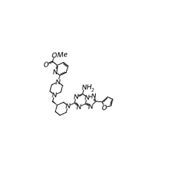 COC(=O)c1cccc(N2CCN(C[C@@H]3CCCN(c4nc(N)n5nc(-c6ccco6)nc5n4)C3)CC2)n1